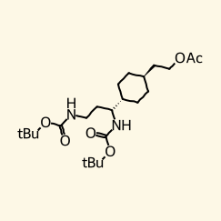 CC(=O)OCC[C@H]1CC[C@H](C(CCNC(=O)OC(C)(C)C)NC(=O)OC(C)(C)C)CC1